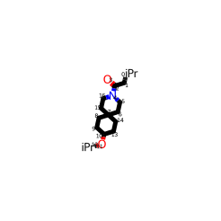 CC(C)CC(=O)N1CCC2(CCC(OC(C)C)CC2)CC1